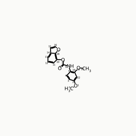 COc1ccc(NC(=O)Oc2cccc3ccoc23)c(OC)c1